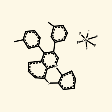 Cc1cccc(-c2c[n+]3c4c(cccc4c2-c2cccc(C)c2)Sc2ccccc2-3)c1.[F][Sb-]([F])([F])([F])([F])[F]